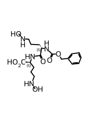 O=C(N[C@@H](CCCNO)C(=O)N[C@@H](CCCNO)C(=O)O)OCc1ccccc1